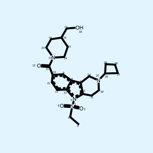 CCS(=O)(=O)n1c2c(c3cc(C(=O)N4CCC(CO)CC4)ccc31)CN(C1CCC1)CC2